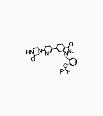 Cn1c(=O)c2ccc(-c3ccc(N4CCNC(=O)C4)nc3)cc2n1Cc1ccccc1OC(F)F